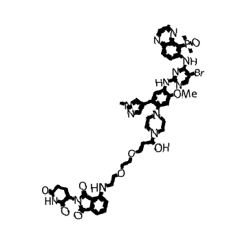 COc1cc(N2CCN(C(O)CCOCCOCCNc3cccc4c3C(=O)N(C3CCC(=O)NC3=O)C4=O)CC2)c(-c2cnn(C)c2)cc1Nc1ncc(Br)c(Nc2ccc3nccnc3c2P(C)(C)=O)n1